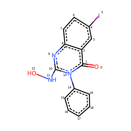 O=c1c2cc(I)ccc2nc(NO)n1-c1ccccc1